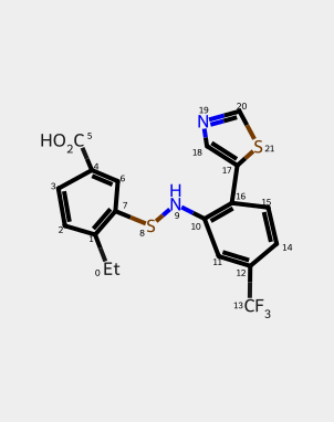 CCc1ccc(C(=O)O)cc1SNc1cc(C(F)(F)F)ccc1-c1cncs1